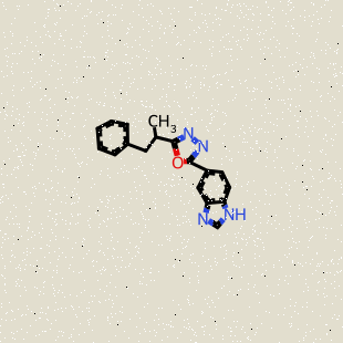 CC(Cc1ccccc1)c1nnc(-c2ccc3[nH]cnc3c2)o1